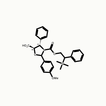 COc1ccc(C2O[C@@H](C(=O)O)[C@H](c3ccccc3)N2C(=O)OCC(c2ccccc2)[Si](C)(C)C)cc1